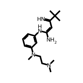 CN(C)CCN(C)c1cccc(N/C(N)=C\C(=N)C(C)(C)C)c1